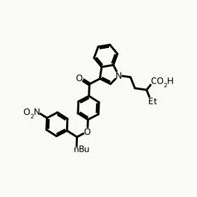 CCCCC(Oc1ccc(C(=O)c2cn(CCC(CC)C(=O)O)c3ccccc23)cc1)c1ccc([N+](=O)[O-])cc1